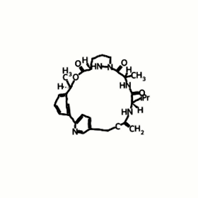 C=C1CCc2ccc(nc2)-c2cccc(c2)[C@@H](C)OC(=O)[C@@H]2CCCN(N2)C(=O)[C@H](C)NC(=O)[C@H](C(C)C)N1